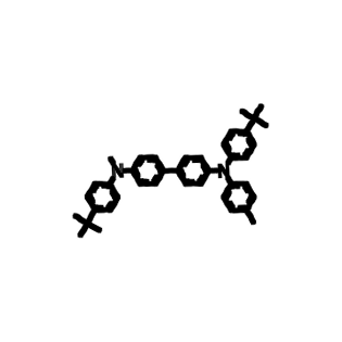 Cc1ccc(N(c2ccc(-c3ccc(N(C)c4ccc(C(C)(C)C)cc4)cc3)cc2)c2ccc(C(C)(C)C)cc2)cc1